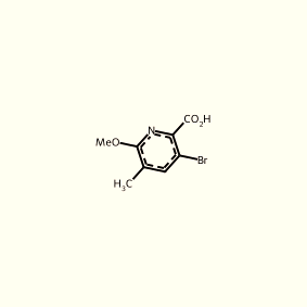 COc1nc(C(=O)O)c(Br)cc1C